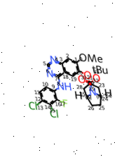 COc1cc2ncnc(Nc3ccc(Cl)c(Cl)c3F)c2cc1O[C@@H]1C[C@H]2CC[C@@H](C1)N2C(=O)OC(C)(C)C